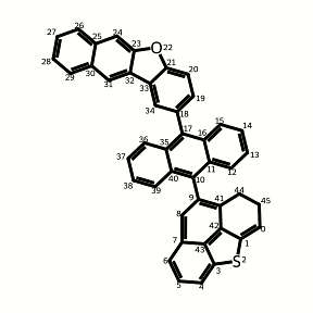 C1=c2sc3cccc4cc(-c5c6ccccc6c(-c6ccc7oc8cc9ccccc9cc8c7c6)c6ccccc56)c(c2c43)CC1